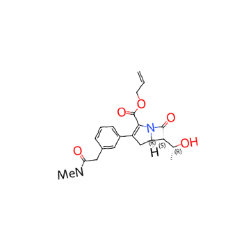 C=CCOC(=O)C1=C(c2cccc(CC(=O)NC)c2)C[C@@H]2[C@@H]([C@@H](C)O)C(=O)N12